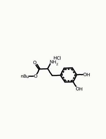 CCCCOC(=O)C(N)Cc1ccc(O)c(O)c1.Cl